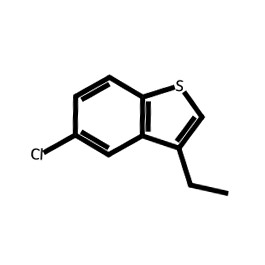 CCc1csc2ccc(Cl)cc12